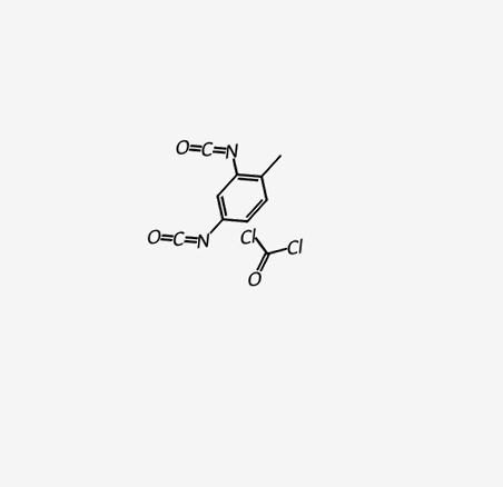 Cc1ccc(N=C=O)cc1N=C=O.O=C(Cl)Cl